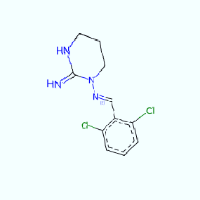 N=C1NCCCN1/N=C/c1c(Cl)cccc1Cl